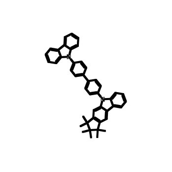 CC1(C)c2cc3c4ccccc4n(-c4ccc(-c5ccc(-n6c7ccccc7c7ccccc76)cc5)cc4)c3cc2C(C)(C)C1(C)C